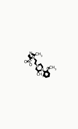 COc1ccccc1N1CCN(CCn2c([N+](=O)[O-])cnc2C)CC1C